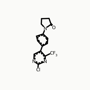 O=C1CCCN1c1ccc(-c2cnc(Cl)nc2C(F)(F)F)cc1